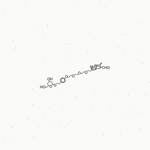 C=CC(C=O)C/C(N)=C/N(N)CCOCCOCCOCCOc1ccc(CCOC2CC(O)CC(CO)O2)cc1